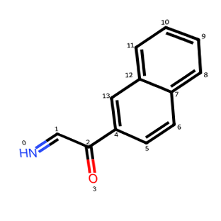 N=CC(=O)c1ccc2ccccc2c1